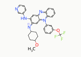 COC1CCC(/N=c2\cc3n(-c4cccc(OC(F)(F)F)c4)c4ccccc4nc-3cc2Nc2cccnc2)CC1